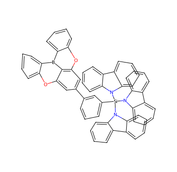 c1cc(-c2cc3c4c(c2)Oc2ccccc2B4c2ccccc2O3)cc([Si](n2c3ccccc3c3ccccc32)(n2c3ccccc3c3ccccc32)n2c3ccccc3c3ccccc32)c1